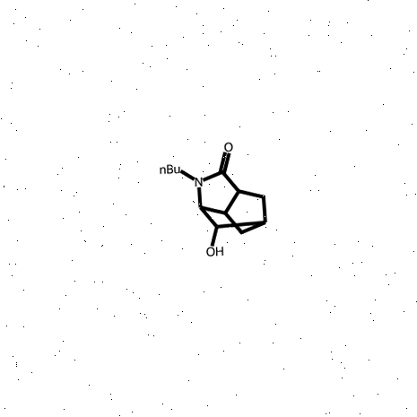 CCCCN1C(=O)C2CC3CC2C1C3O